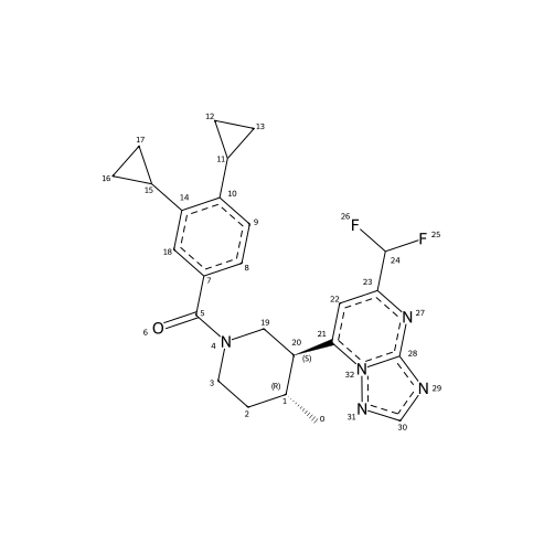 C[C@@H]1CCN(C(=O)c2ccc(C3CC3)c(C3CC3)c2)C[C@H]1c1cc(C(F)F)nc2ncnn12